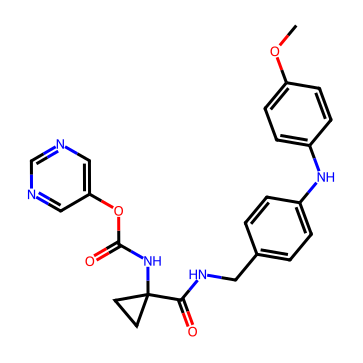 COc1ccc(Nc2ccc(CNC(=O)C3(NC(=O)Oc4cncnc4)CC3)cc2)cc1